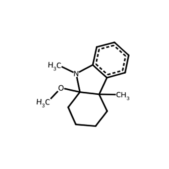 COC12CCCCC1(C)c1ccccc1N2C